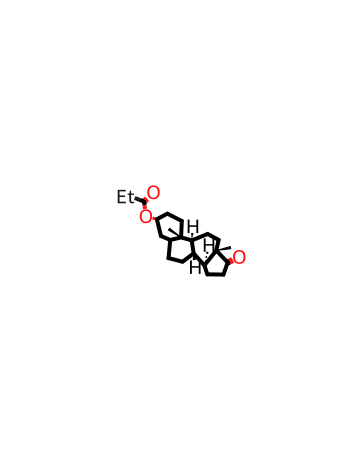 CCC(=O)O[C@H]1CC[C@@]2(C)C(CC[C@@H]3[C@@H]2CC[C@]2(C)C(=O)CC[C@@H]32)C1